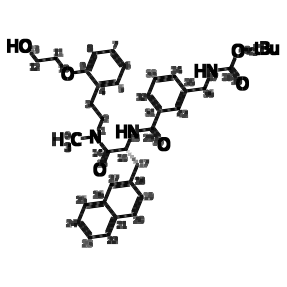 CN(CCc1ccccc1OCCO)C(=O)[C@@H](Cc1ccc2ccccc2c1)NC(=O)c1cccc(CNC(=O)OC(C)(C)C)c1